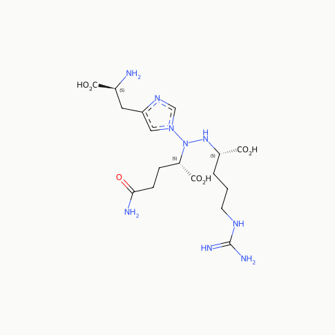 N=C(N)NCCC[C@H](NN([C@@H](CCC(N)=O)C(=O)O)n1cnc(C[C@H](N)C(=O)O)c1)C(=O)O